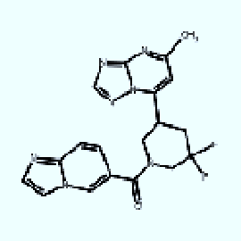 Cc1cc(C2CN(C(=O)c3ccc4nccn4c3)CC(F)(F)C2)n2ncnc2n1